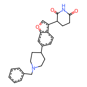 O=C1CCC(c2coc3cc(C4CCN(Cc5ccccc5)CC4)ccc23)C(=O)N1